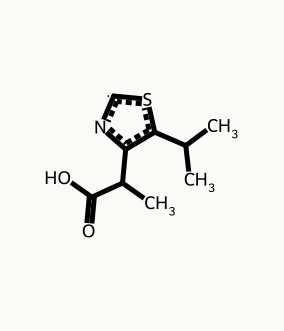 CC(C)c1s[c]nc1C(C)C(=O)O